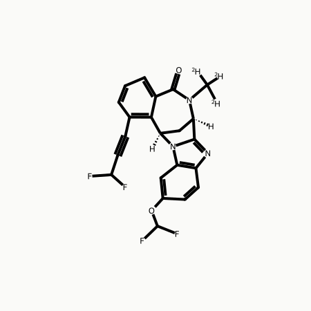 [2H]C([2H])([2H])N1C(=O)c2cccc(C#CC(F)F)c2[C@H]2C[C@@H]1c1nc3ccc(OC(F)F)cc3n12